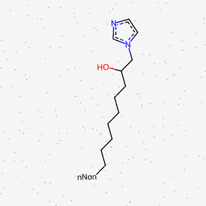 CCCCCCCCCCCCCCCCC(O)Cn1ccnc1